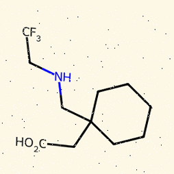 O=C(O)CC1(CNCC(F)(F)F)CCCCC1